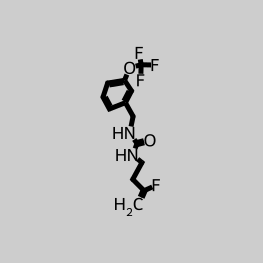 C=C(F)CCNC(=O)NCc1cccc(OC(F)(F)F)c1